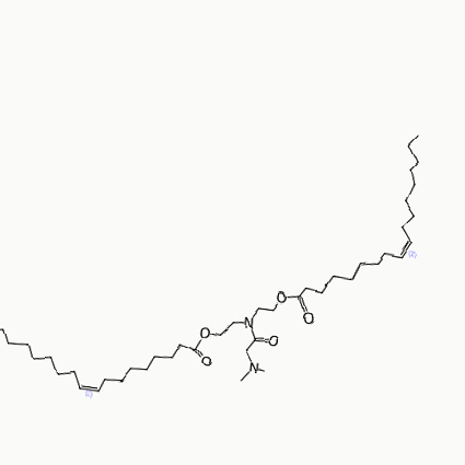 CCCCCCCC/C=C\CCCCCCCC(=O)OCCN(CCOC(=O)CCCCCCC/C=C\CCCCCCCC)C(=O)CN(C)C